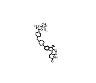 CC(C)(C)OC(=O)N1CCC(CN2CCN(c3ccc4c(c3)C3(CC3)C(=O)N4C3CCC(=O)NC3=O)CC2)CC1